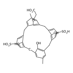 Cc1cc2c(O)c(c1)Cc1cc(S(=O)(=O)O)cc(c1O)Cc1cc(C)cc(c1OCC(=O)O)Cc1cc(S(=O)(=O)O)cc(c1O)C2